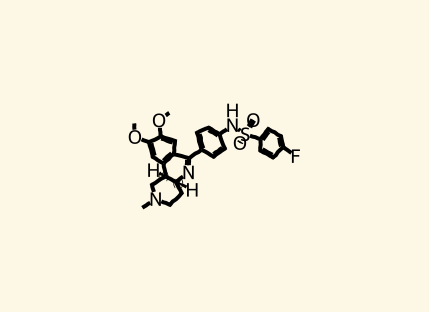 COc1cc2c(cc1OC)[C@H]1CN(C)CC[C@H]1N=C2c1ccc(NS(=O)(=O)c2ccc(F)cc2)cc1